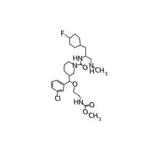 CNCC(CC1CCC(F)CC1)NC(=O)N1CCCC(C(OCCNC(=O)OC)c2cccc(Cl)c2)C1